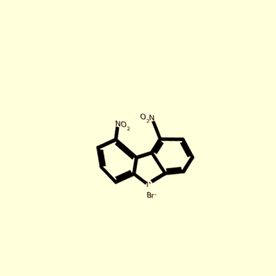 O=[N+]([O-])c1cccc2c1-c1c(cccc1[N+](=O)[O-])[I+]2.[Br-]